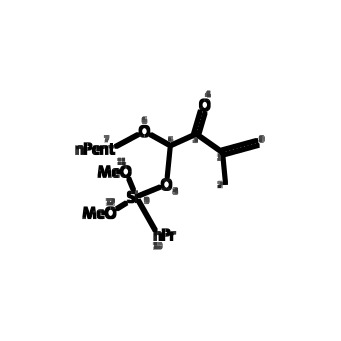 C=C(C)C(=O)C(OCCCCC)O[Si](CCC)(OC)OC